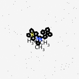 Cc1cc(C)c(-c2nc(-c3cccc([Si](c4ccccc4)(c4ccccc4)c4ccccc4)c3)cc(-c3cccc(S(c4ccccc4)(c4ccccc4)c4ccccc4)c3)n2)c(C)c1